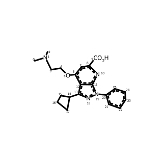 CN(C)CCOc1cc(C(=O)O)nc2c1c(C1CCC1)nn2-c1ccccc1